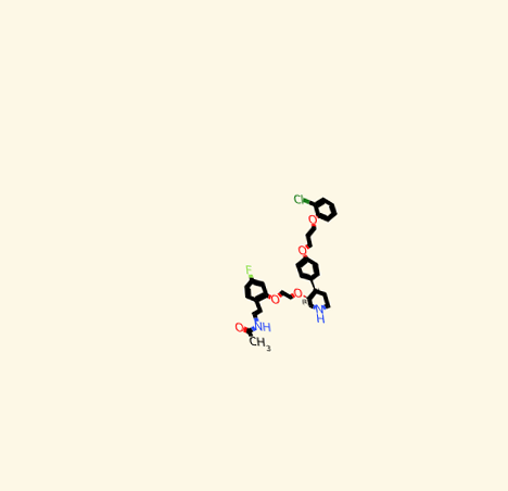 CC(=O)NCCc1ccc(F)cc1OCCO[C@H]1CNCC[C@@H]1c1ccc(OCCCOc2ccccc2Cl)cc1